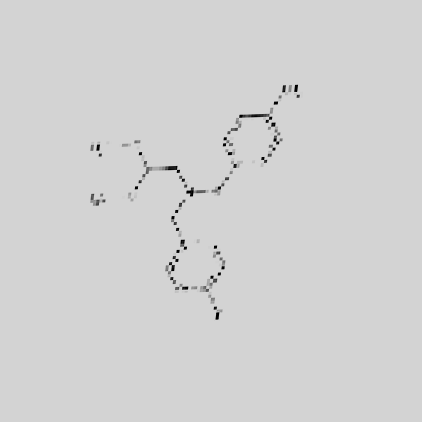 COC(CN(Cc1ccc(F)cc1)Sc1ccc(C)cc1)OC